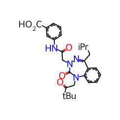 CC(C)CC1=NN(CC(=O)Nc2cccc(C(=O)O)c2)C(=O)N(CC(=O)C(C)(C)C)c2ccccc21